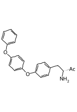 CC(=O)[C@H](N)Cc1ccc(Oc2ccc(Oc3ccccc3)cc2)cc1